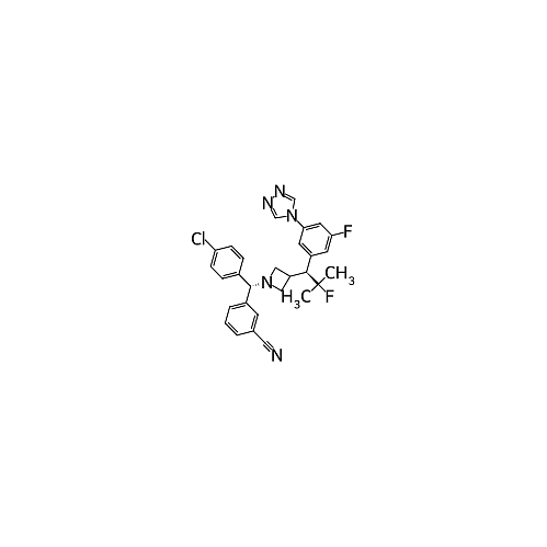 CC(C)(F)[C@H](c1cc(F)cc(-n2cnnc2)c1)C1CN([C@@H](c2ccc(Cl)cc2)c2cccc(C#N)c2)C1